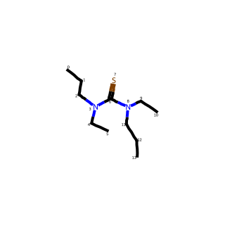 CCCN(CC)C(=S)N(CC)CCC